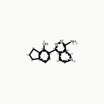 Nc1nnc(-c2ccc3c(c2O)CCC3)c2ccncc12